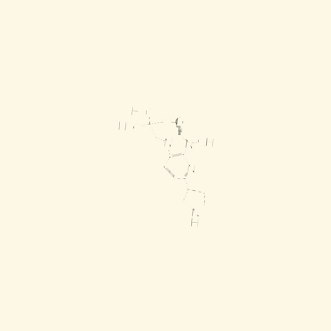 Cn1c(=O)n(CC(C)(C)C)c2ccc(C3CCNC3)nc21